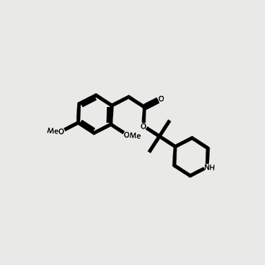 COc1ccc(CC(=O)OC(C)(C)C2CCNCC2)c(OC)c1